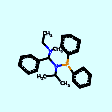 CCN(C)C(c1ccccc1)N(C(C)C)P(c1ccccc1)c1ccccc1